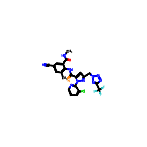 CNC(=O)c1cc(C#N)cc(C)c1NC(=P)c1cc(Cn2nnc(C(F)(F)F)n2)nn1-c1ncccc1Cl